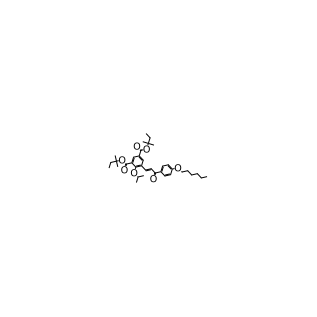 CCCCCCOc1ccc(C(=O)/C=C/c2cc(C(=O)OC(C)(C)CC)cc(C(=O)OC(C)(C)CC)c2OC(C)C)cc1